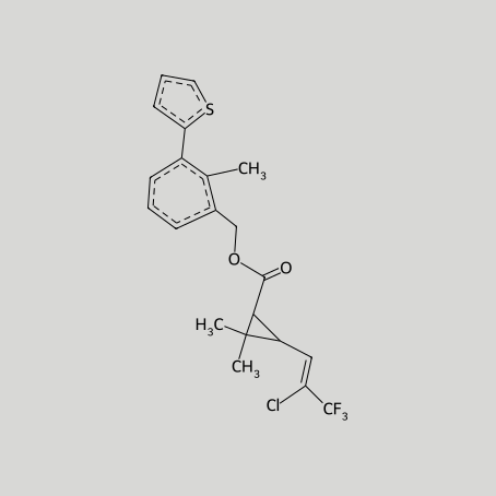 Cc1c(COC(=O)C2C(C=C(Cl)C(F)(F)F)C2(C)C)cccc1-c1cccs1